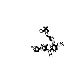 Cc1nn(C2CCN(C)C2)cc1Nc1ncc(C#N)c(NCCCN2CC(C)(C)C2=O)n1